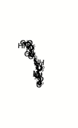 O=C1COc2ccc(N3C[C@H](CCNCc4cc(-c5nccc(OC6COC6)n5)ccn4)OC3=O)nc2N1